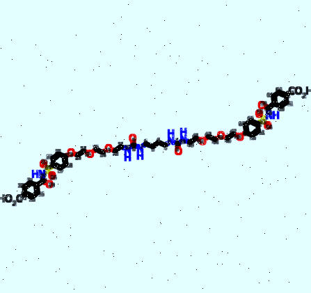 O=C(NCCCCNC(=O)NCCOCCOCCOc1ccc(S(=O)(=O)NC(=O)c2ccc(C(=O)O)cc2)cc1)NCCOCCOCCOc1ccc(S(=O)(=O)NC(=O)c2ccc(C(=O)O)cc2)cc1